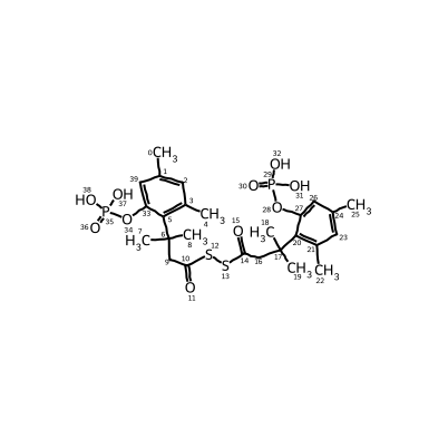 Cc1cc(C)c(C(C)(C)CC(=O)SSC(=O)CC(C)(C)c2c(C)cc(C)cc2OP(=O)(O)O)c(OP(=O)(O)O)c1